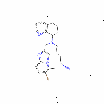 Cc1c(Br)ccc2nc(CN(CCCCN)C3CCCc4cccnc43)cn12